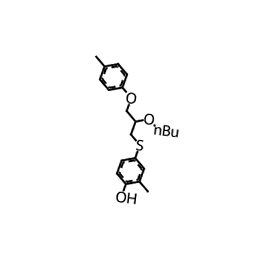 CCCCOC(COc1ccc(C)cc1)CSc1ccc(O)c(C)c1